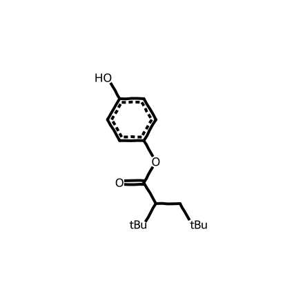 CC(C)(C)CC(C(=O)Oc1ccc(O)cc1)C(C)(C)C